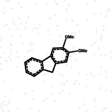 COc1cc2c(cc1OC)-c1ccccc1C2